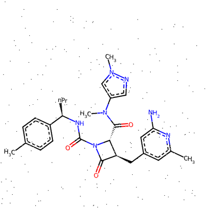 CCC[C@@H](NC(=O)N1C(=O)[C@H](Cc2cc(C)nc(N)c2)[C@H]1C(=O)N(C)c1cnn(C)c1)c1ccc(C)cc1